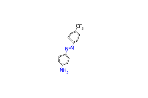 Nc1ccc(N=Nc2ccc(C(F)(F)F)cc2)cc1